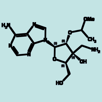 COC(C)O[C@H]1[C@H](n2cnc3c(N)ncnc32)O[C@H](CO)[C@]1(O)CN